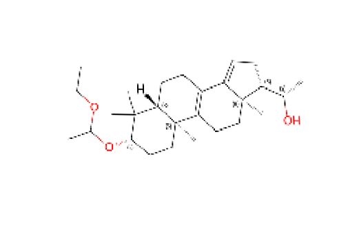 CCOC(C)O[C@H]1CC[C@]2(C)C3=C(CC[C@H]2C1(C)C)C1=CC[C@H]([C@H](C)O)[C@@]1(C)CC3